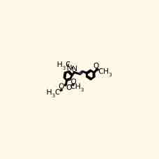 CCOC(=O)c1ccc2c(c(/C=C/c3cccc(C(C)=O)c3)nn2C)c1OC